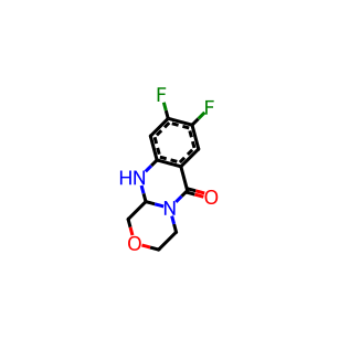 O=C1c2cc(F)c(F)cc2NC2COCCN12